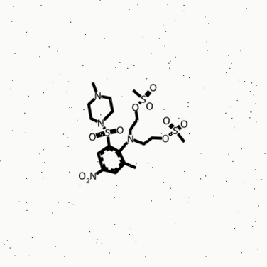 Cc1cc([N+](=O)[O-])cc(S(=O)(=O)N2CCN(C)CC2)c1N(CCOS(C)(=O)=O)CCOS(C)(=O)=O